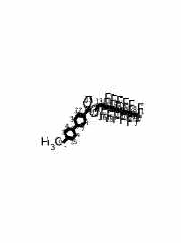 CCc1ccc(-c2ccc(C(=O)OCC(F)(F)C(F)(F)C(F)(F)C(F)(F)C(F)(F)C(F)F)cc2)cc1